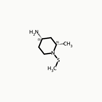 CSN1CC[C@H](N)C[C@@H]1C